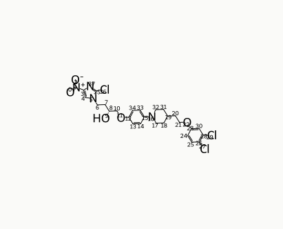 O=[N+]([O-])c1cn(CC[C@@H](O)COc2ccc(N3CCC(CCOc4ccc(Cl)c(Cl)c4)CC3)cc2)c(Cl)n1